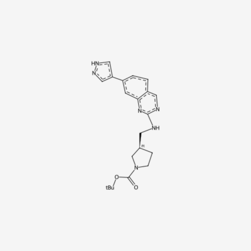 CC(C)(C)OC(=O)N1CC[C@H](CNc2ncc3ccc(-c4cn[nH]c4)cc3n2)C1